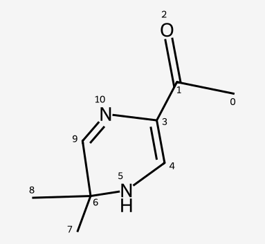 CC(=O)C1=CNC(C)(C)C=N1